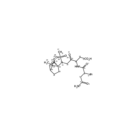 CC(C)C(CC(N)=O)C(=O)NC(CC(=O)O)C(=O)CN(C12CCC(CC1=O)C2(C)C)S(C)(=O)=O